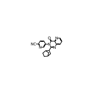 N#Cc1ccc(-n2c(C3CC4CCC3C4)nc3cccnc3c2=O)cn1